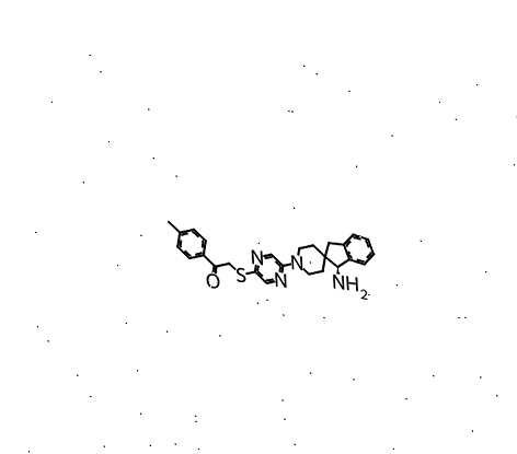 Cc1ccc(C(=O)CSc2cnc(N3CCC4(CC3)Cc3ccccc3[C@H]4N)cn2)cc1